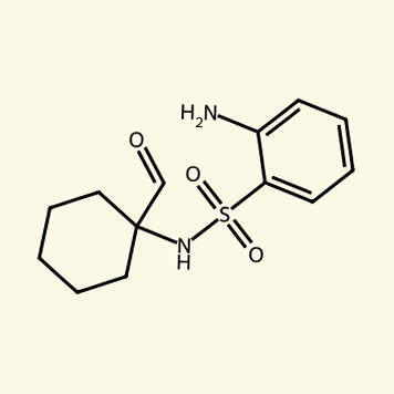 Nc1ccccc1S(=O)(=O)NC1(C=O)CCCCC1